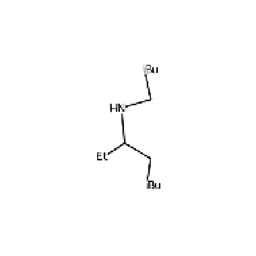 CCC(C)CNC(CC)CC(C)CC